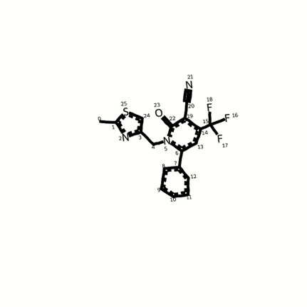 Cc1nc(Cn2c(-c3ccccc3)cc(C(F)(F)F)c(C#N)c2=O)cs1